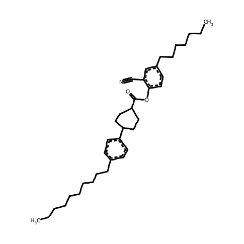 CCCCCCCCCCc1ccc(C2CCC(C(=O)Oc3ccc(CCCCCCC)cc3C#N)CC2)cc1